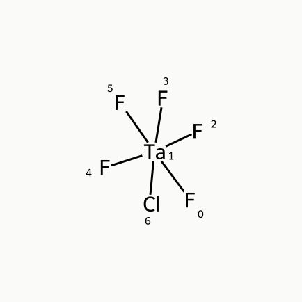 [F][Ta]([F])([F])([F])([F])[Cl]